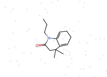 CCCN1C(=O)CC(C)(C)C2=CCCC=C21